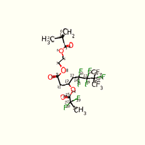 C=C(C)C(=O)OCCOC(=O)CC(CC(F)(F)C(F)(F)C(F)(C(F)(F)F)C(F)(F)F)OC(=O)C(C)(F)F